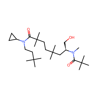 CN(C(=O)C(C)(C)C)[C@H](CO)CC(C)(C)CCC(C)(C)C(=O)N(CCC(C)(C)C)C1CC1